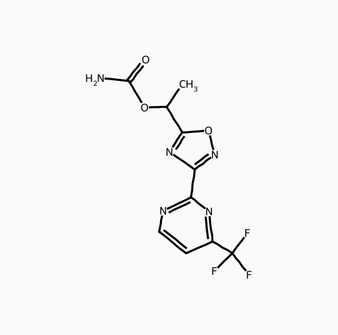 CC(OC(N)=O)c1nc(-c2nccc(C(F)(F)F)n2)no1